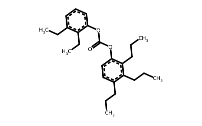 CCCc1ccc(OC(=O)Oc2cccc(CC)c2CC)c(CCC)c1CCC